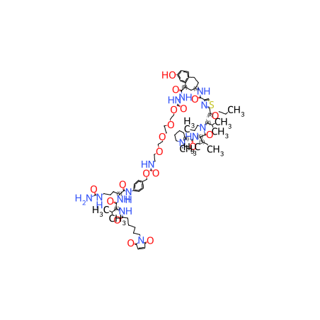 CCCO[C@H](C[C@H](C(C)C)N(CCC)C(=O)[C@@H](NC(=O)[C@H]1CCCCN1C)[C@@H](C)CC)c1nc(C(=O)N[C@H]2CCc3ccc(O)cc3[C@H](C(=O)NNC(=O)OCCOCCOCCOCCNC(=O)OCc3ccc(NC(=O)[C@H](CCCNC(N)=O)NC(=O)[C@@H](NC(=O)CCCCCN4C(=O)C=CC4=O)C(C)C)cc3)C2)cs1